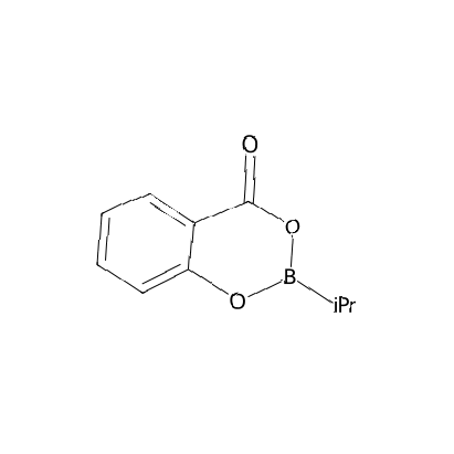 CC(C)B1OC(=O)c2ccccc2O1